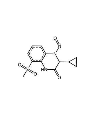 CS(=O)(=O)c1cccc2c1NC(=O)C(C1CC1)N2N=O